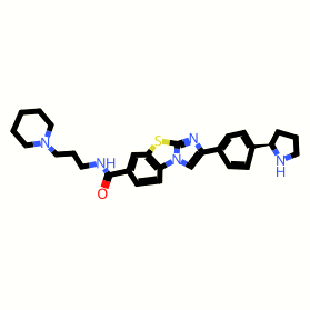 O=C(NCCCN1CCCCC1)c1ccc2c(c1)sc1nc(-c3ccc([C@H]4CCCN4)cc3)cn12